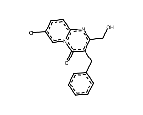 O=c1c(Cc2ccccc2)c(CO)nc2ccc(Cl)cn12